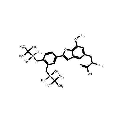 COc1cc(CC(C)C(=O)O)cc2cc(-c3ccc(O[Si](C)(C)C(C)(C)C)c(O[Si](C)(C)C(C)(C)C)c3)oc12